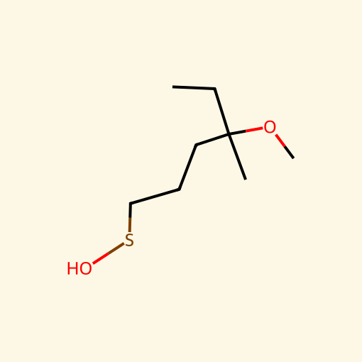 CCC(C)(CCCSO)OC